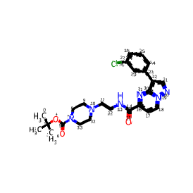 CC(C)(C)OC(=O)N1CCN(CCNC(=O)c2ccn3ncc(-c4cccc(Cl)c4)c3n2)CC1